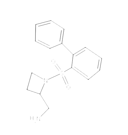 NCC1CCN1S(=O)(=O)c1ccccc1-c1ccccc1